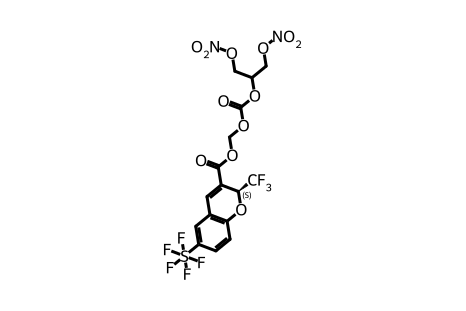 O=C(OCOC(=O)C1=Cc2cc(S(F)(F)(F)(F)F)ccc2O[C@@H]1C(F)(F)F)OC(CO[N+](=O)[O-])CO[N+](=O)[O-]